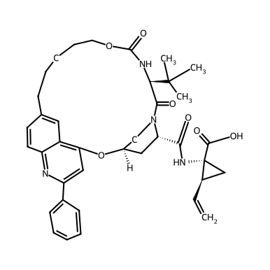 C=C[C@@H]1C[C@]1(NC(=O)[C@@H]1C[C@@H]2CN1C(=O)[C@H](C(C)(C)C)NC(=O)OCCCCCc1ccc3nc(-c4ccccc4)cc(c3c1)O2)C(=O)O